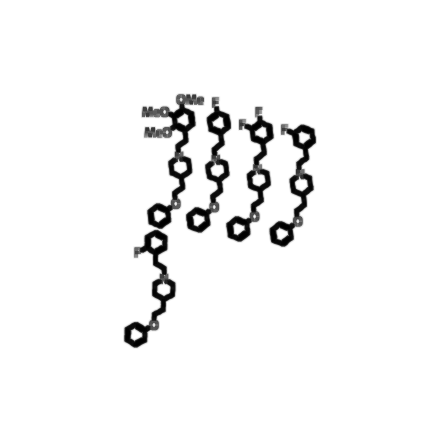 COc1ccc(CCN2CCC(CCOc3ccccc3)CC2)c(OC)c1OC.Fc1ccc(CCN2CCC(CCOc3ccccc3)CC2)cc1.Fc1ccc(CCN2CCC(CCOc3ccccc3)CC2)cc1F.Fc1cccc(CCN2CCC(CCOc3ccccc3)CC2)c1.Fc1ccccc1CCN1CCC(CCOc2ccccc2)CC1